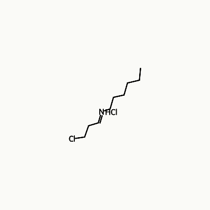 CCCCCCN=CCCCl.Cl